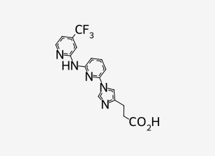 O=C(O)CCc1cn(-c2cccc(Nc3cc(C(F)(F)F)ccn3)n2)cn1